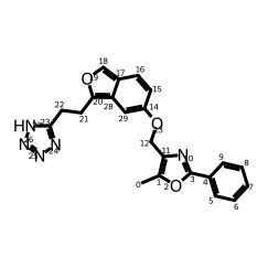 Cc1oc(-c2ccccc2)nc1COc1ccc2coc(CCc3nnn[nH]3)c2c1